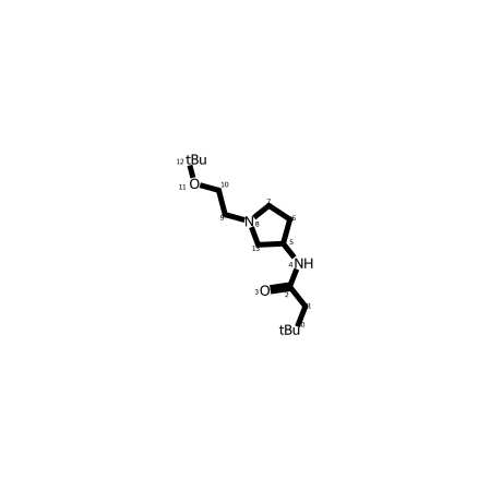 CC(C)(C)CC(=O)NC1CCN(CCOC(C)(C)C)C1